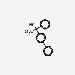 O=C(O)C(O)(c1ccccc1)c1ccc(-c2ccccc2)cc1